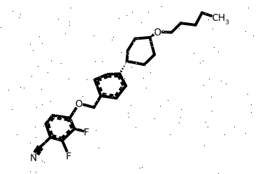 CCCCCO[C@H]1CC[C@H](c2ccc(COc3ccc(C#N)c(F)c3F)cc2)CC1